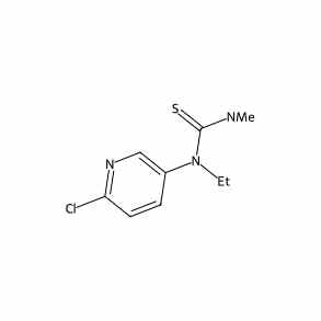 CCN(C(=S)NC)c1ccc(Cl)nc1